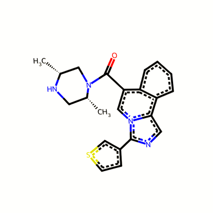 C[C@@H]1CN(C(=O)c2cn3c(-c4ccsc4)ncc3c3ccccc23)[C@H](C)CN1